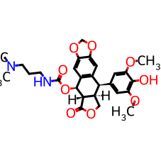 COc1cc([C@@H]2c3cc4c(cc3[C@H](OC(=O)NCCCN(C)C)[C@H]3C(=O)OC[C@H]23)OCO4)cc(OC)c1O